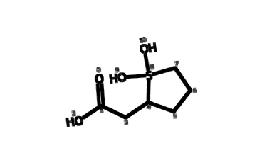 O=C(O)CC1CCCS1(O)O